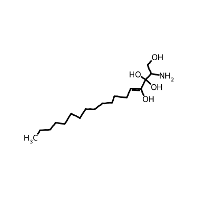 CCCCCCCCCCCCC/C=C(\O)C(O)(O)C(N)CO